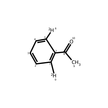 [2H]c1cccc([2H])c1C(C)=O